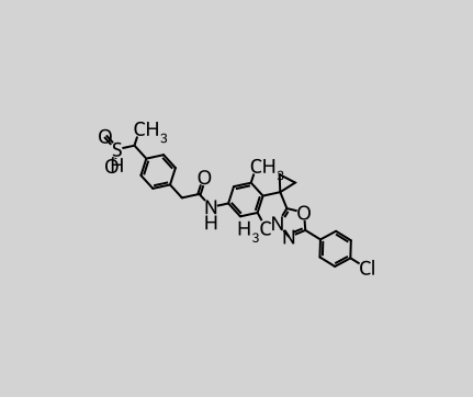 Cc1cc(NC(=O)Cc2ccc(C(C)[SH](=O)=O)cc2)cc(C)c1C1(c2nnc(-c3ccc(Cl)cc3)o2)CC1